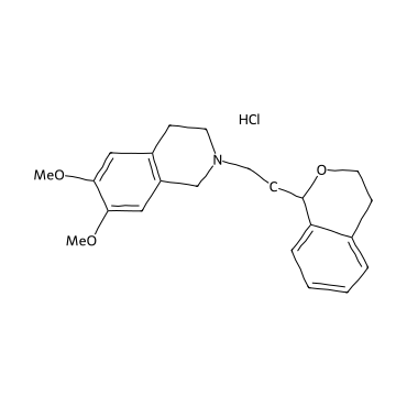 COc1cc2c(cc1OC)CN(CCC1OCCc3ccccc31)CC2.Cl